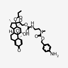 CCC(=O)O[C@]1(C(=O)COC(=O)NCCN(C)C(=O)OCc2ccc(N)cc2)[C@@H](C)CC2[C@@H]3CCC4=CC(=O)C=C[C@]4(C)[C@@]3(Cl)[C@@H](O)C[C@@]21C